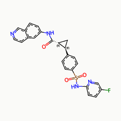 O=C(Nc1ccc2cnccc2c1)[C@@H]1C[C@H]1c1ccc(S(=O)(=O)Nc2ccc(F)cn2)cc1